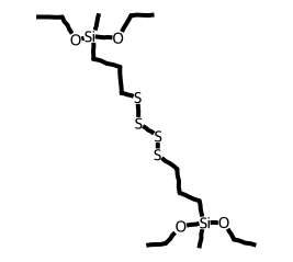 CCO[Si](C)(CCCSSSSCCC[Si](C)(OCC)OCC)OCC